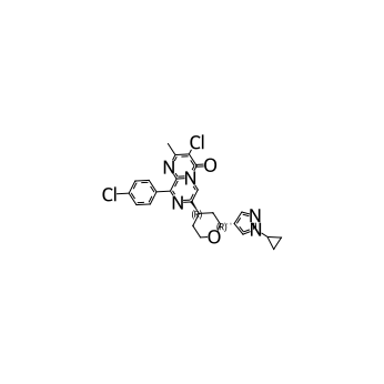 Cc1nc2c(-c3ccc(Cl)cc3)nc([C@@H]3CCO[C@@H](c4cnn(C5CC5)c4)C3)cn2c(=O)c1Cl